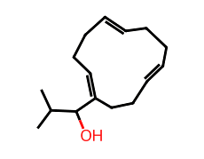 CC(C)C(O)/C1=C\CC/C=C/CC/C=C/CC1